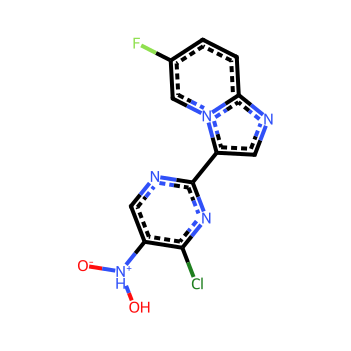 [O-][NH+](O)c1cnc(-c2cnc3ccc(F)cn23)nc1Cl